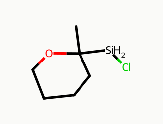 CC1([SiH2]Cl)CCCCO1